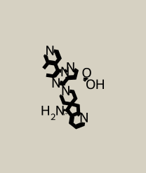 Cc1cnccc1-c1c(C)nc(N2CCC3(CC2)Cc2ncccc2[C@H]3N)c2ccnn12.O=CO